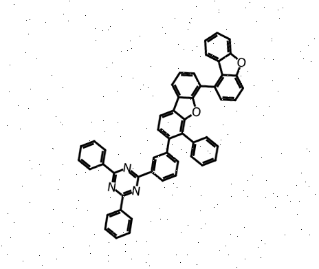 c1ccc(-c2nc(-c3ccccc3)nc(-c3cccc(-c4ccc5c(oc6c(-c7cccc8oc9ccccc9c78)cccc65)c4-c4ccccc4)c3)n2)cc1